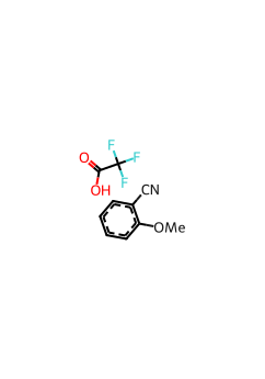 COc1ccccc1C#N.O=C(O)C(F)(F)F